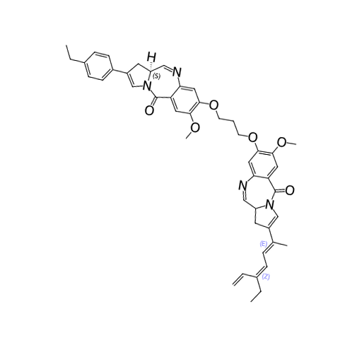 C=C/C(=C\C=C(/C)C1=CN2C(=O)c3cc(OC)c(OCCCOc4cc5c(cc4OC)C(=O)N4C=C(c6ccc(CC)cc6)C[C@H]4C=N5)cc3N=CC2C1)CC